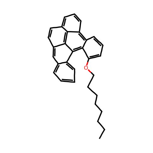 CCCCCCCCOc1cccc2c3cccc4ccc5cc6ccccc6c(c12)c5c43